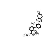 CCCCCCCCC(CC)c1cccc(-c2cccc(-c3nc4c(s3)CCNC4)c2C#N)c1OCCC